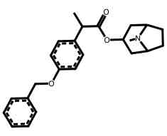 CC(C(=O)OC1CC2CCC(C1)N2C)c1ccc(OCc2ccccc2)cc1